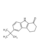 CC(C)(C)c1ccc2[nH]c3c(c2c1)CCCC3=O